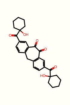 O=C1C(=O)c2cc(C(=O)C3(O)CCCCC3)ccc2Cc2ccc(C(=O)C3(O)CCCCC3)cc21